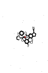 CNC(=O)c1cc2c(c(F)c1-c1c(Cl)c(F)cc3c1C[C@](c1ccccc1)([C@@H]1CCCN1)O3)CCC2C#N